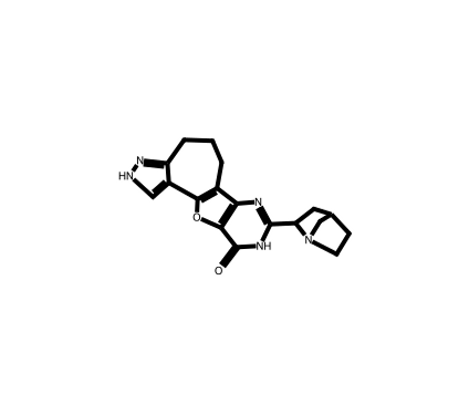 O=c1[nH]c(C2CC3CCN2C3)nc2c3c(oc12)-c1c[nH]nc1CCC3